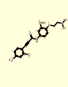 CCN(CC)CCOc1ccc(NC(=O)C#Cc2ccc(C(F)(F)F)cc2Cl)cc1OC